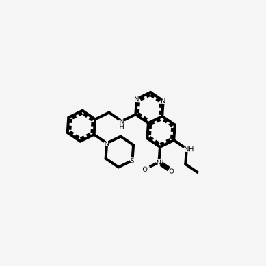 CCNc1cc2ncnc(NCc3ccccc3N3CCSCC3)c2cc1[N+](=O)[O-]